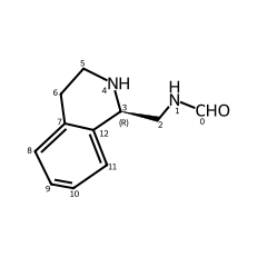 O=CNC[C@@H]1NCCc2ccccc21